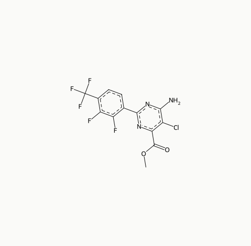 COC(=O)c1nc(-c2ccc(C(F)(F)F)c(F)c2F)nc(N)c1Cl